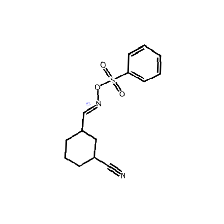 N#CC1CCCC(/C=N/OS(=O)(=O)c2ccccc2)C1